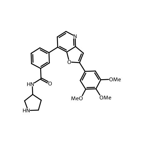 COc1cc(-c2cc3nccc(-c4cccc(C(=O)NC5CCNC5)c4)c3o2)cc(OC)c1OC